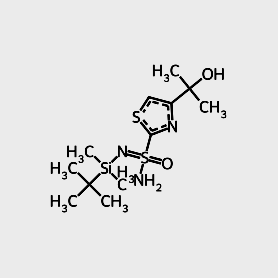 CC(C)(O)c1csc(S(N)(=O)=N[Si](C)(C)C(C)(C)C)n1